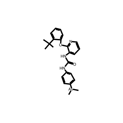 C[As](C)c1ccc(NC(=O)Nc2cccnc2Oc2ccccc2C(C)(C)C)cc1